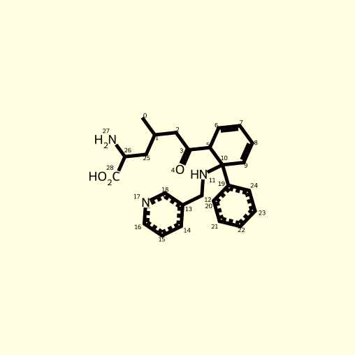 CC(CC(=O)C1C=CC=CC1(NCc1cccnc1)c1ccccc1)CC(N)C(=O)O